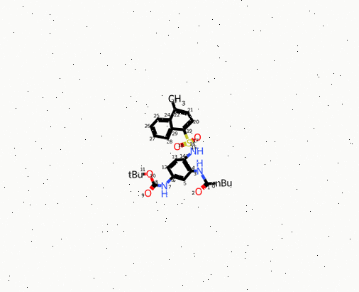 CCCCC(=O)Nc1cc(NC(=O)OC(C)(C)C)ccc1NS(=O)(=O)c1ccc(C)c2ccccc12